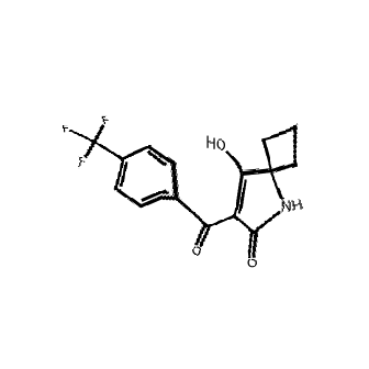 O=C1NC2(CCC2)C(O)=C1C(=O)c1ccc(C(F)(F)F)cc1